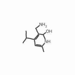 CC1=CC(C(C)C)=C(CN)C(O)N1